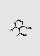 CC(=N)c1c(N)cccc1C=O